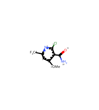 COc1cc(C(F)(F)F)nc(Cl)c1C(N)=O